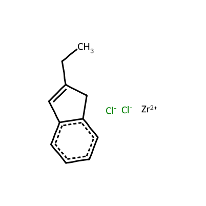 CCC1=Cc2ccccc2C1.[Cl-].[Cl-].[Zr+2]